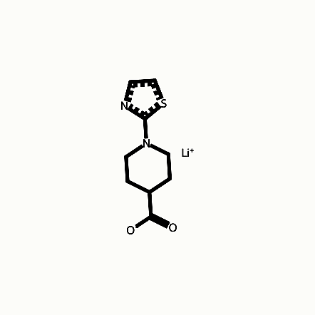 O=C([O-])C1CCN(c2nccs2)CC1.[Li+]